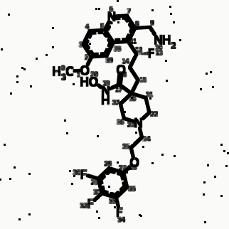 COc1ccc2ncc(CN)c([C@H](F)CCC3(C(=O)NO)CCN(CCOc4cc(F)c(F)c(F)c4)CC3)c2c1